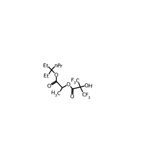 CCCC(CC)(CC)OC(=O)C(C)OC(=O)C(O)(C(F)(F)F)C(F)(F)F